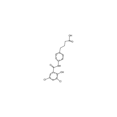 O=C(O)CCCc1ccc(NC(=O)c2cc(Cl)cc(Cl)c2O)cc1